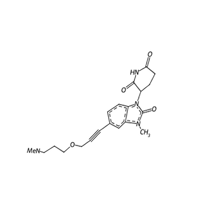 CNCCCOCC#Cc1ccc2c(c1)n(C)c(=O)n2C1CCC(=O)NC1=O